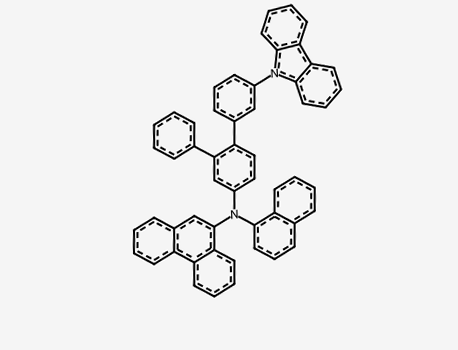 c1ccc(-c2cc(N(c3cccc4ccccc34)c3cc4ccccc4c4ccccc34)ccc2-c2cccc(-n3c4ccccc4c4ccccc43)c2)cc1